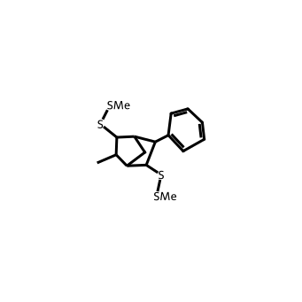 CSSC1C(C)C2CC1C(c1ccccc1)C2SSC